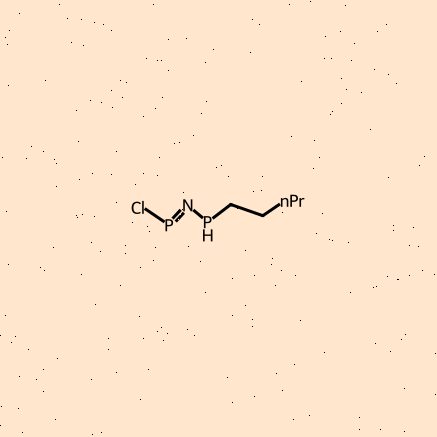 CCCCCPN=PCl